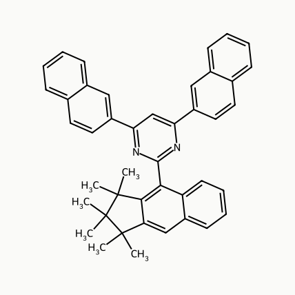 CC1(C)c2cc3ccccc3c(-c3nc(-c4ccc5ccccc5c4)cc(-c4ccc5ccccc5c4)n3)c2C(C)(C)C1(C)C